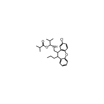 CCCC1c2ccccc2Oc2ccc(Cl)cc2C1CNC(OC(=O)C(C)C)C(C)C